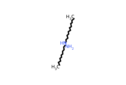 CCCCCCCCCCCCCCNC(N)CCCCCCCCCCC